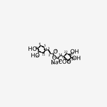 O=C(/C=C/c1ccc(O)c(O)c1)OC(Cc1ccc(O)c(O)c1)C(=O)[O-].[Na+]